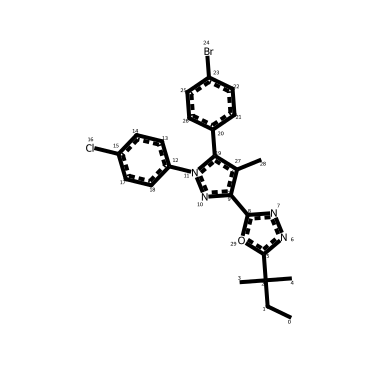 CCC(C)(C)c1nnc(-c2nn(-c3ccc(Cl)cc3)c(-c3ccc(Br)cc3)c2C)o1